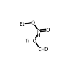 CCO[PH](=O)OC=O.[Ti]